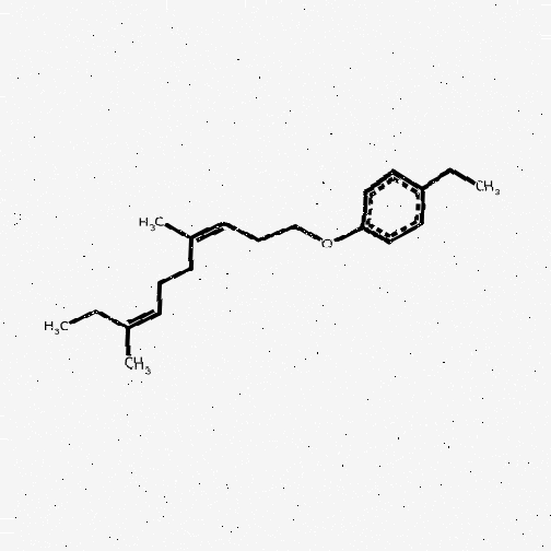 CCC(C)=CCCC(C)=CCCOc1ccc(CC)cc1